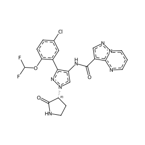 O=C(Nc1cn([C@@H]2CCNC2=O)nc1-c1cc(Cl)ccc1OC(F)F)c1cnn2cccnc12